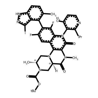 Cc1ccnc(C(C)C)c1-n1c(=O)c2c(c3cc(F)c(-c4c(C)ccc5[nH]nc(I)c45)c(F)c31)N1C[C@@H](C)N(C(=O)OC(C)(C)C)C[C@@H]1C(=O)N2C